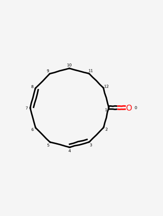 O=C1C/C=C\CC/C=C\CCCC1